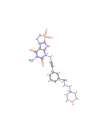 Cn1c(=O)c2c(nc3n2CCS3(=O)=O)n(CC#Cc2cccc(NCCN3CCOCC3)c2)c1=O